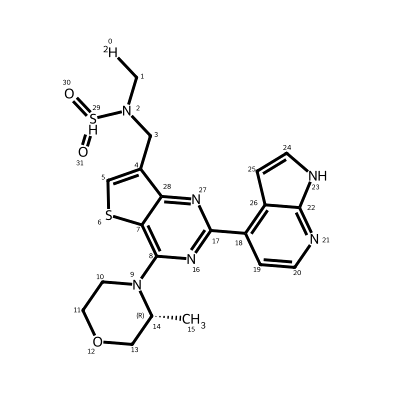 [2H]CN(Cc1csc2c(N3CCOC[C@H]3C)nc(-c3ccnc4[nH]ccc34)nc12)[SH](=O)=O